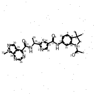 CC(=O)N1CC(C)(C)c2ccc(NC(=O)c3cnc(C(C)NC(=O)c4ncnc5c4cnn5C)s3)cc21